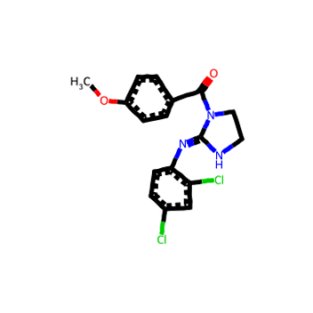 COc1ccc(C(=O)N2CCNC2=Nc2ccc(Cl)cc2Cl)cc1